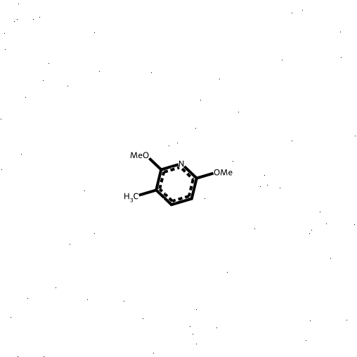 COc1ccc(C)c(OC)n1